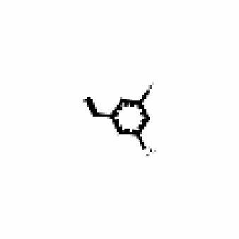 C=[C]c1cc(F)cc(CCCC)c1